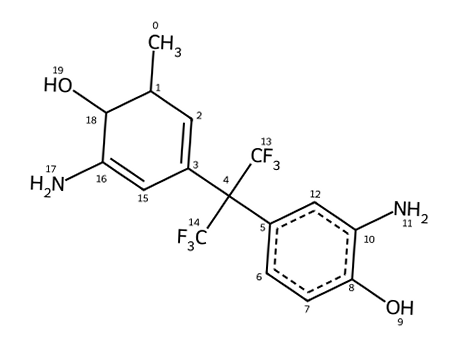 CC1C=C(C(c2ccc(O)c(N)c2)(C(F)(F)F)C(F)(F)F)C=C(N)C1O